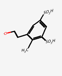 Cc1c(CC[O])cc(S(=O)(=O)O)cc1S(=O)(=O)O